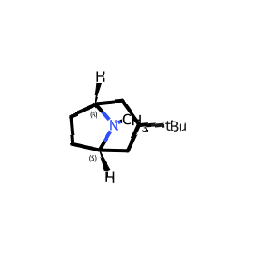 CN1[C@@H]2CC[C@H]1CC(C(C)(C)C)C2